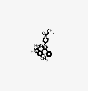 C=CC(=O)N1CCC(n2nc(-c3ccccc3)c(-c3c(Cl)c(C)cc4[nH]nc(N)c34)c2C)CC1